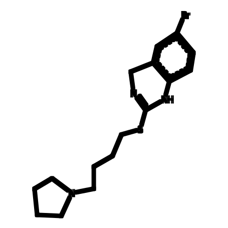 Brc1ccc2c(c1)CN=C(SCCCCN1CCCC1)N2